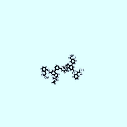 CC(CC(N)c1cccc(-c2cc(COc3ccccc3CC(=O)O)cc3c2ccn3S(=O)(=O)C2CC2)c1)S(=O)(=O)n1ccc2c(-c3cccc(CN)c3)cc(COc3ccccc3CC(=O)O)cc21